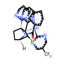 O=C(c1ccccc1)N1[C@@H]2CC[C@@]1(c1ncccn1)[C@@](Nc1ncc(C(F)(F)F)cn1)(c1ncccn1)C2F